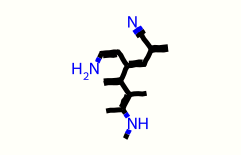 C=C(C#N)/C=C(\C=C/N)C(=C)/C(C)=C(\C)NC